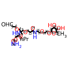 CCCOCC(COCCC=O)(COCCC(=O)NCCOCCOC1CC(O)C(O)C(C)O1)NCCOON